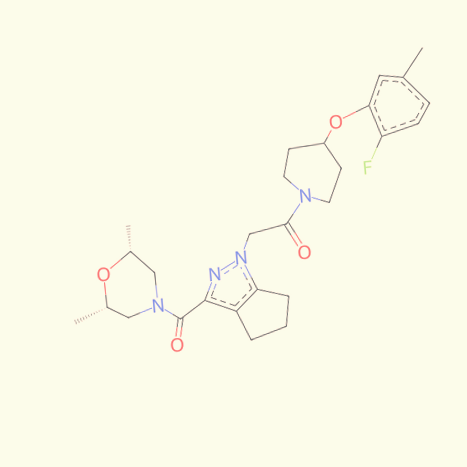 Cc1ccc(F)c(OC2CCN(C(=O)Cn3nc(C(=O)N4C[C@@H](C)O[C@@H](C)C4)c4c3CCC4)CC2)c1